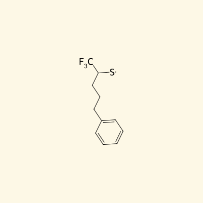 FC(F)(F)C([S])CCCc1ccccc1